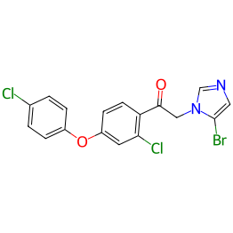 O=C(Cn1cncc1Br)c1ccc(Oc2ccc(Cl)cc2)cc1Cl